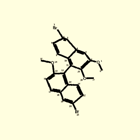 COc1cc2cc(Br)ccc2c(-c2c(OC)ccc3cc(Br)ccc23)c1OC